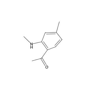 CNc1cc(C)ccc1C(C)=O